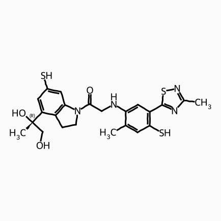 Cc1nsc(-c2cc(NCC(=O)N3CCc4c3cc(S)cc4[C@@](C)(O)CO)c(C)cc2S)n1